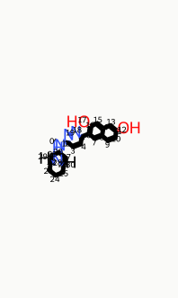 CN(c1ccc(-c2cc3ccc(O)cc3cc2O)nn1)[C@@H]1C[C@H]2CCC[C@@H](C1)N2